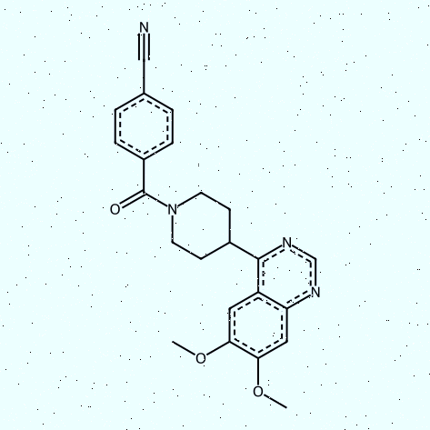 COc1cc2ncnc(C3CCN(C(=O)c4ccc(C#N)cc4)CC3)c2cc1OC